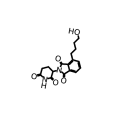 O=C1CCC(N2C(=O)c3cccc(CCCCO)c3C2=O)C(=O)N1